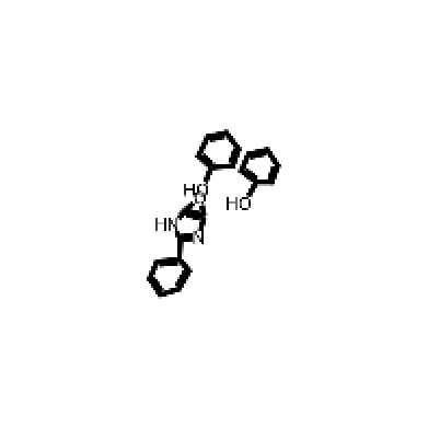 Oc1ccccc1.Oc1ccccc1.c1ccc(-c2nc3c([nH]2)O3)cc1